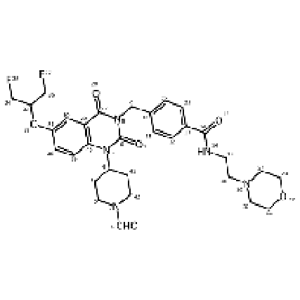 O=CN1CCC(n2c(=O)n(Cc3ccc(C(=O)NCCN4CCOCC4)cc3)c(=O)c3cc(OC(CF)CF)ccc32)CC1